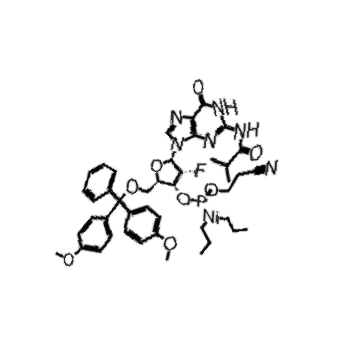 CC[CH2][Ni]([CH2]CC)[P](OCCC#N)O[C@H]1[C@@H](F)[C@H](n2cnc3c(=O)[nH]c(NC(=O)C(C)C)nc32)O[C@@H]1COC(c1ccccc1)(c1ccc(OC)cc1)c1ccc(OC)cc1